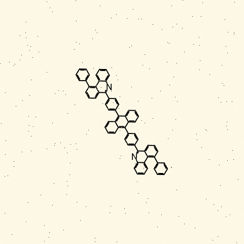 c1ccc(-c2cccc3c(-c4ccc(-c5c6ccccc6c(-c6ccc(-c7nc8ccccc8c8c(-c9ccccc9)cccc78)cc6)c6ccccc56)cc4)nc4ccccc4c23)cc1